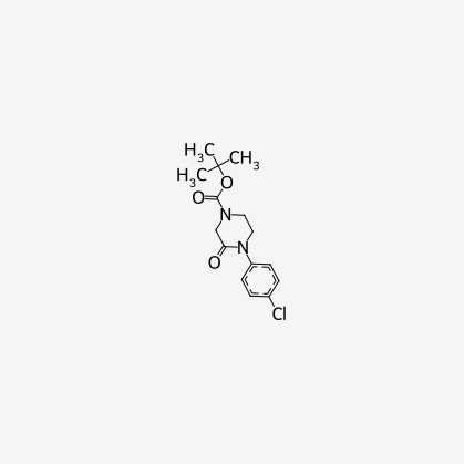 CC(C)(C)OC(=O)N1CCN(c2ccc(Cl)cc2)C(=O)C1